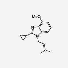 COc1cccc2c1nc(C1CC1)n2CC=C(C)C